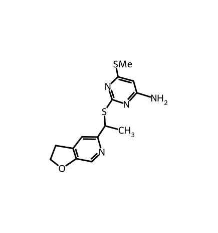 CSc1cc(N)nc(SC(C)c2cc3c(cn2)OCC3)n1